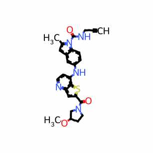 C#CCNC(=O)n1c(C)cc2cc(Nc3ccnc4cc(C(=O)N5CCC(OC)C5)sc34)ccc21